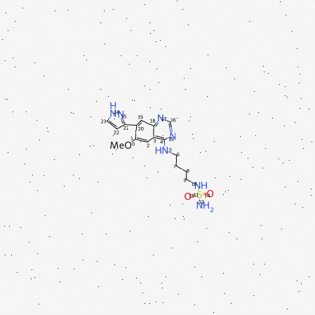 COc1cc2c(NCCCCNS(N)(=O)=O)ncnc2cc1-c1cc[nH]n1